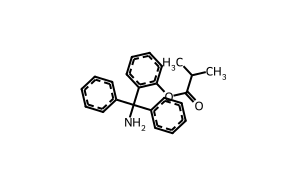 CC(C)C(=O)Oc1ccccc1C(N)(c1ccccc1)c1ccccc1